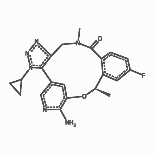 C[C@H]1Oc2cc(cnc2N)-c2c(nnn2C2CC2)CN(C)C(=O)c2ccc(F)cc21